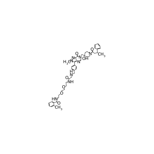 Cc1ccccc1C(=O)NCCOCCOCCNC(=O)CNCc1ccc(-c2c3ncn(CC4(O)CCN(C(=O)CC(C)c5ccccc5)CC4)c(=O)c3nn2C)cc1